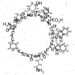 CN1CC(=O)N(C)[C@@H](Cc2c[nH]c3ccccc23)C(=O)N[C@@H](Cc2c[nH]c3ccccc23)C(=O)N[C@@H](CC(=O)O)C(=O)N[C@@H](Cc2cnc[nH]2)C(=O)N[C@@H](CC2CCC(O)CC2)C(=O)N2CCC[C@H]2C(=O)N[C@H](C(N)=O)CSCc2cccc(c2)CSCCC(=O)N[C@@H](CCCCN)C1=O